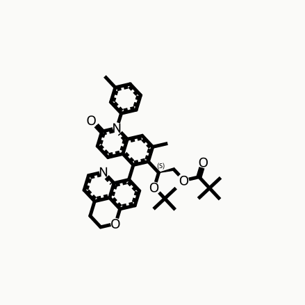 Cc1cccc(-n2c(=O)ccc3c(-c4ccc5c6c(ccnc46)CCO5)c([C@@H](COC(=O)C(C)(C)C)OC(C)(C)C)c(C)cc32)c1